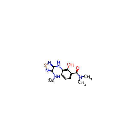 CN(C)C(=O)c1cccc(Nc2nsnc2NC(C)(C)C)c1O